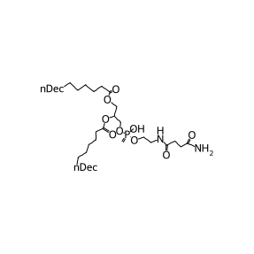 C=P(O)(OCCNC(=O)CCC(N)=O)OCC(COC(=O)CCCCCCCCCCCCCCC)OC(=O)CCCCCCCCCCCCCCC